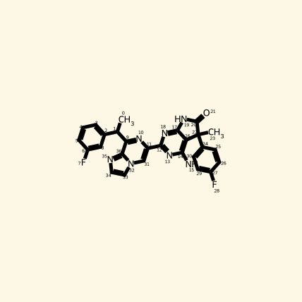 CC(c1cccc(F)c1)c1nc(-c2nc(N)c3c(n2)NC(=O)C3(C)c2ccc(F)cc2)cn2ccnc12